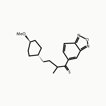 CO[C@H]1CC[C@H](CCC(C)C(=S)c2ccc3nonc3c2)CC1